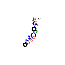 CC(=O)NC[C@H]1CN(c2ccc(N3CCON(C(=O)Nc4nc5ccccc5o4)CC3)c(F)c2)C(=O)O1